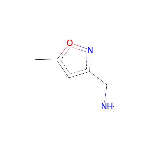 Cc1cc(C[NH])no1